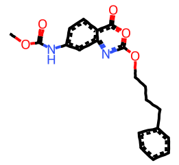 COC(=O)Nc1ccc2c(=O)oc(OCCCCc3ccccc3)nc2c1